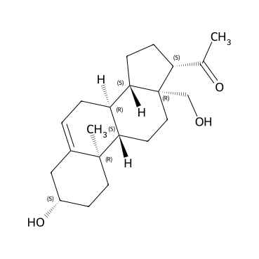 CC(=O)[C@H]1CC[C@H]2[C@@H]3CC=C4C[C@@H](O)CC[C@]4(C)[C@H]3CC[C@]12CO